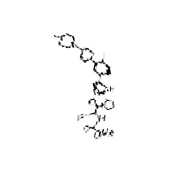 COC(=O)N[C@H](C(=O)N1CCC[C@H]1c1ncc(-c2ccc(I)c(-c3ccc(N4CCN(C)CC4)cc3)c2)[nH]1)C(C)C